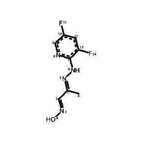 CC(/C=N/O)=N\Nc1ncc(F)cc1F